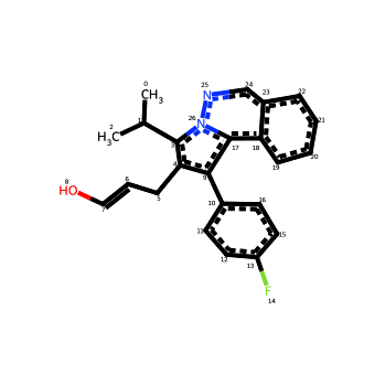 CC(C)c1c(CC=CO)c(-c2ccc(F)cc2)c2c3ccccc3cnn12